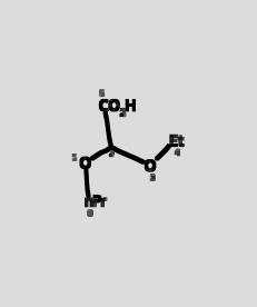 CCCOC(OCC)C(=O)O